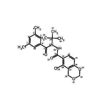 Cc1cc(C)cc(C(=O)N(NC(=O)c2ccc3c(c2Cl)COCO3)C(C)(C)C)c1